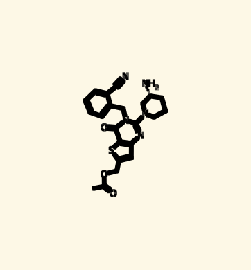 CC(=O)OCc1cc2nc(N3CCC[C@@H](N)C3)n(Cc3ccccc3C#N)c(=O)c2s1